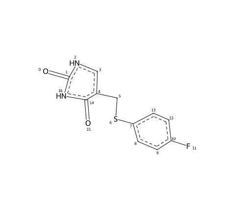 O=c1[nH]cc(CSc2ccc(F)cc2)c(=O)[nH]1